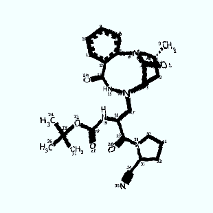 C[C@@H]1CC2C(=O)N1c1ccccc1C(=O)NN2CC(NC(=O)OC(C)(C)C)C(=O)N1CCCC1C#N